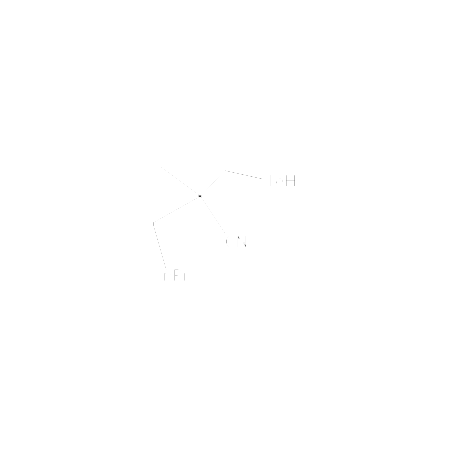 CCCCC(C)(C#N)C[TeH]